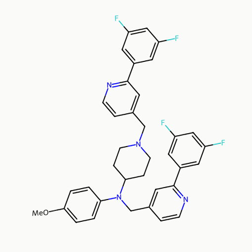 COc1ccc(N(Cc2ccnc(-c3cc(F)cc(F)c3)c2)C2CCN(Cc3ccnc(-c4cc(F)cc(F)c4)c3)CC2)cc1